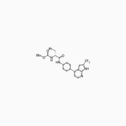 CC(C)C[C@@H](NC(=O)OC(C)(C)C)C(=O)Nc1ccc(-c2ccnc3[nH]c(C(F)(F)F)cc23)cc1